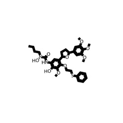 CCCCN(O)C(=O)Nc1cc(C2CCC(c3cc(OC)c(OC)c(OC)c3)O2)c(OCCSc2ccccc2)c(OC)c1O